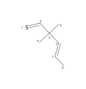 CC=CC(C)(C)C=S